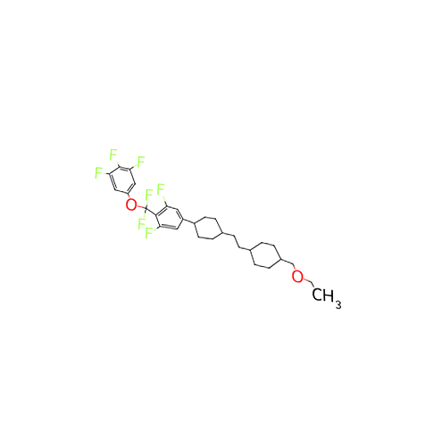 CCOCC1CCC(CCC2CCC(c3cc(F)c(C(F)(F)Oc4cc(F)c(F)c(F)c4)c(F)c3)CC2)CC1